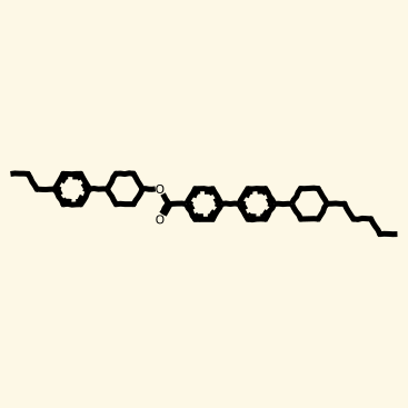 CCCCCC1CCC(c2ccc(-c3ccc(C(=O)OC4CCC(c5ccc(CCC)cc5)CC4)cc3)cc2)CC1